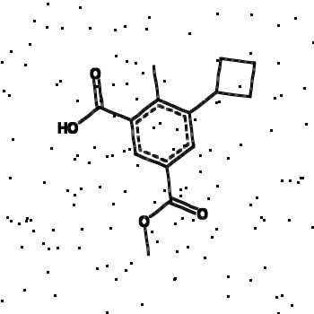 COC(=O)c1cc(C(=O)O)c(C)c(C2CCC2)c1